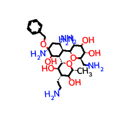 C[C@H]1O[C@@H]([C@H]2[C@H]([C@H]3O[C@H](CN)[C@@H](O)[C@H](O)[C@H]3N)[C@@H](N)C[C@](N)(OCc3ccccc3)[C@@H]2O)[C@H](O)[C@@H](CCN)[C@@H]1O